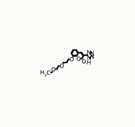 CCOCCOCCCOc1cccc2cc(-c3nnn[nH]3)c(=O)oc12